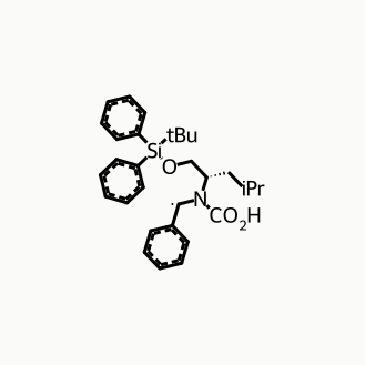 CC(C)C[C@@H](CO[Si](c1ccccc1)(c1ccccc1)C(C)(C)C)N([CH]c1ccccc1)C(=O)O